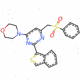 O=S(=O)(Cc1cc(N2CCOCC2)nc(-c2scc3ccccc23)n1)c1ccccc1